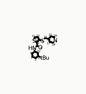 CC(C)(C)c1cccc(NC(=O)c2sccc2SCc2ccncc2)c1